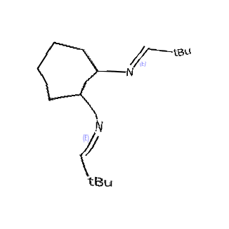 CC(C)(C)/C=N/C1CCCCC1/N=C/C(C)(C)C